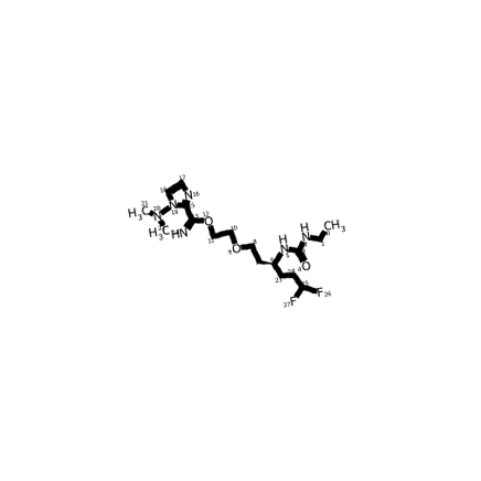 CCNC(=O)N[C@H](CCOCCOC(=N)c1nccn1N(C)C)CCC(F)F